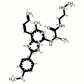 C=C/C=C\c1c(C)nc(N[C@H](C)C(=O)NCCNC)n2nc(-c3ccc(OC)cc3)nc12